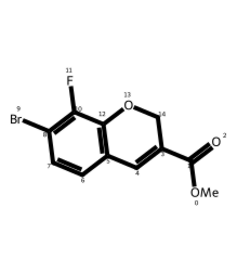 COC(=O)C1=Cc2ccc(Br)c(F)c2OC1